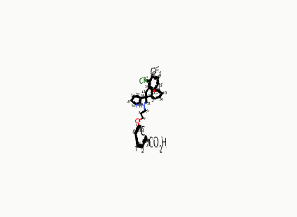 O=C(O)c1cccc(OCCCNCC(Cc2cccc(C(F)(F)F)c2Cl)(c2ccccc2)c2ccccc2)c1